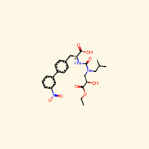 CCOC(=O)C(O)CN(CC(C)C)C(=O)N[C@@H](Cc1ccc(-c2cccc([N+](=O)[O-])c2)cc1)C(=O)O